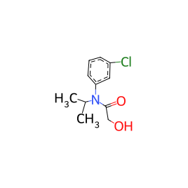 CC(C)N(C(=O)CO)c1cccc(Cl)c1